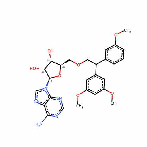 COc1cccc(C(COC[C@H]2O[C@@H](n3cnc4c(N)ncnc43)[C@H](O)[C@@H]2O)c2cc(OC)cc(OC)c2)c1